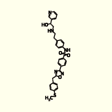 CSc1ccc(Cc2nc(-c3ccc(S(=O)(=O)Nc4ccc(CCNCC(O)c5cccnc5)cc4)cc3)no2)cc1